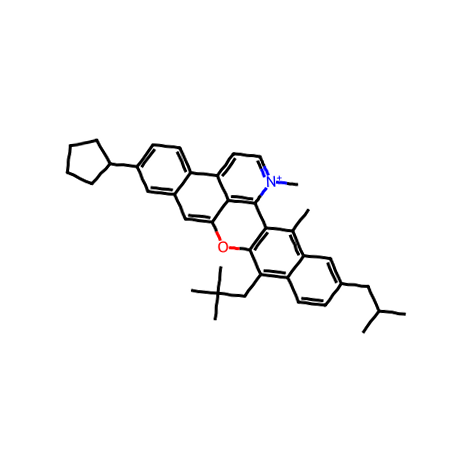 Cc1c2c(c(CC(C)(C)C)c3ccc(CC(C)C)cc13)Oc1cc3cc(C4CCCC4)ccc3c3cc[n+](C)c-2c13